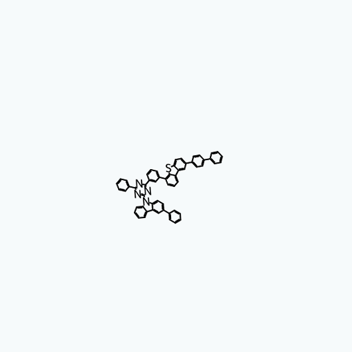 c1ccc(-c2ccc(-c3ccc4sc5c(-c6cccc(-c7nc(-c8ccccc8)nc(-n8c9ccccc9c9cc(-c%10ccccc%10)ccc98)n7)c6)cccc5c4c3)cc2)cc1